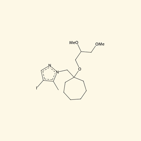 COCC(COC1(Cn2ncc(I)c2C)CCCCCC1)OC